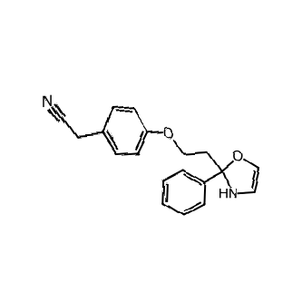 N#CCc1ccc(OCCC2(c3ccccc3)NC=CO2)cc1